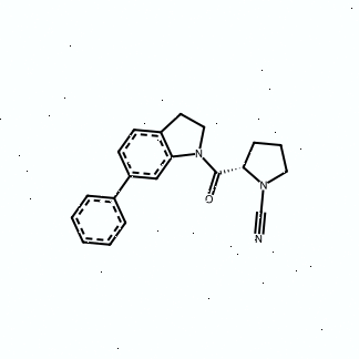 N#CN1CCC[C@H]1C(=O)N1CCc2ccc(-c3ccccc3)cc21